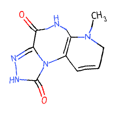 CN1CC=Cc2c1[nH]c(=O)c1n[nH]c(=O)n21